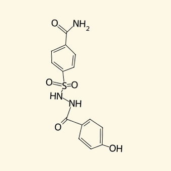 NC(=O)c1ccc(S(=O)(=O)NNC(=O)c2ccc(O)cc2)cc1